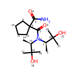 C[C@@H](N(C(=O)C1(C(N)=O)CCCC1)[C@H](C)C(C)(C)O)C(C)(C)O